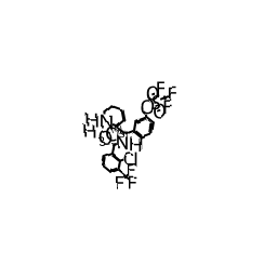 C[C@@]1([C@@H](NC(=O)c2cccc(C(F)(F)F)c2Cl)c2cccc(OS(=O)(=O)C(F)(F)F)c2)CCCCN1